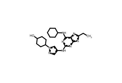 CCc1nc2c(NC3CCCCC3)nc(Nc3cnn(C4CCC(O)CC4)c3)nc2s1